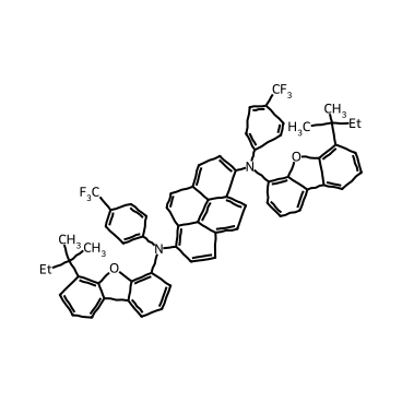 CCC(C)(C)c1cccc2c1oc1c(N(c3ccc(C(F)(F)F)cc3)c3ccc4ccc5c(N(c6ccc(C(F)(F)F)cc6)c6cccc7c6oc6c(C(C)(C)CC)cccc67)ccc6ccc3c4c65)cccc12